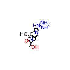 C[C@@H](O)C1C(=O)N2C(C(=O)O)=C(CN3CC[C@H](NC(=N)N)C3)[C@H](C)C12